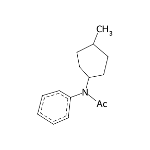 CC(=O)N(c1ccccc1)C1CCC(C)CC1